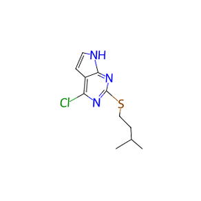 CC(C)CCSc1nc(Cl)c2cc[nH]c2n1